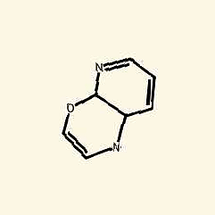 C1=CC2[N]C=COC2N=C1